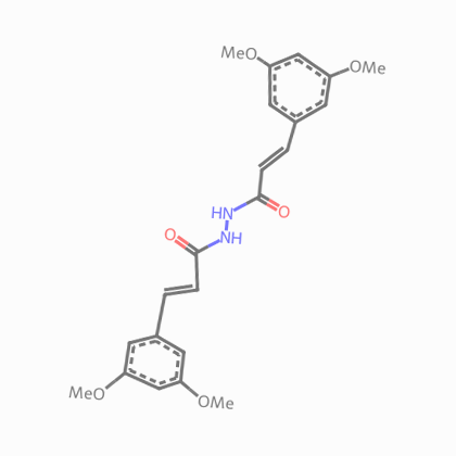 COc1cc(/C=C/C(=O)NNC(=O)/C=C/c2cc(OC)cc(OC)c2)cc(OC)c1